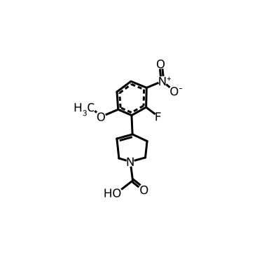 COc1ccc([N+](=O)[O-])c(F)c1C1=CCN(C(=O)O)CC1